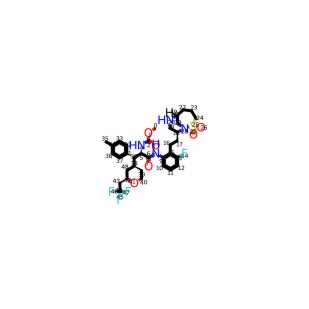 COC(=O)N[C@H](C(=O)Nc1cccc(F)c1CC[C@H]1CN[C@@H]2CCCS(=O)(=O)N1C2)[C@@H](c1ccc(C)cc1)[C@H]1CCO[C@@H](CC(F)(F)F)C1